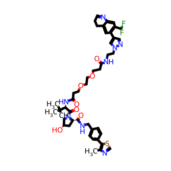 Cc1ncsc1-c1ccc(CNC(=O)[C@@H]2C[C@@H](O)CN2C(=O)[C@@H](NC(=O)CCOCCOCCC(=O)NCCn2cc(-c3cc4c(cc3C(F)F)N=CCC4)cn2)C(C)(C)C)cc1